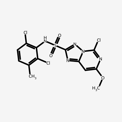 COc1cc2nc(S(=O)(=O)Nc3c(Cl)ccc(C)c3Cl)nn2c(Cl)n1